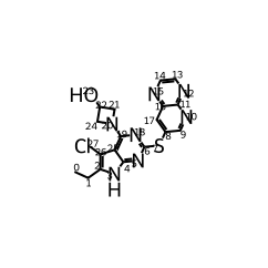 CCc1[nH]c2nc(Sc3cnc4nccnc4c3)nc(N3CC(O)C3)c2c1Cl